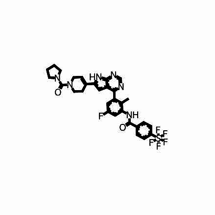 Cc1c(NC(=O)c2ccc(S(F)(F)(F)(F)F)cc2)cc(F)cc1-c1ncnc2[nH]c(C3=CCN(C(=O)N4CCCC4)CC3)cc12